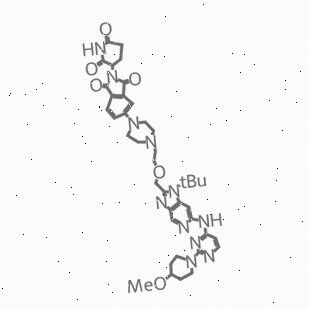 COC1CCN(c2nccc(Nc3cc4c(cn3)nc(COCCN3CCN(c5ccc6c(c5)C(=O)N(C5CCC(=O)NC5=O)C6=O)CC3)n4C(C)(C)C)n2)CC1